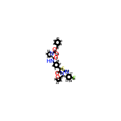 O=C(Nc1ccc(C2SC(=Nc3cccc(F)c3)N(Cc3ccco3)C2=O)cc1)[C@@H]1CCCN1C(=O)OCc1ccccc1